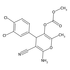 COC(=O)OC1=C(C)OC(N)=C(C#N)C1c1ccc(Cl)c(Cl)c1